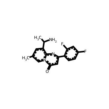 Cc1cc(C(C)N)c2nc(-c3ccc(F)cc3F)cc(=O)n2c1